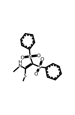 CNC(SC)=C(S(=O)(=O)c1ccccc1)S(=O)(=O)c1ccccc1